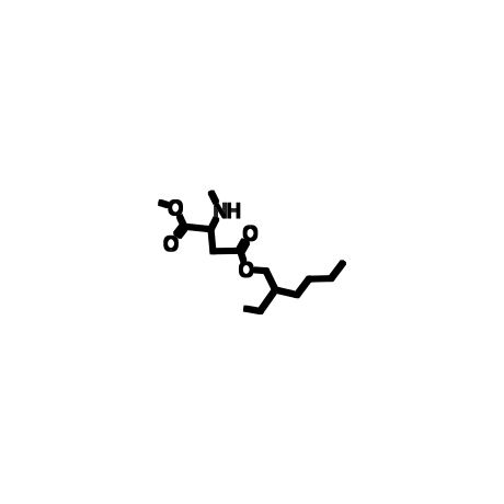 CCCCC(CC)COC(=O)CC(NC)C(=O)OC